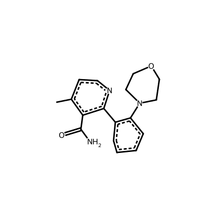 Cc1ccnc(-c2ccccc2N2CCOCC2)c1C(N)=O